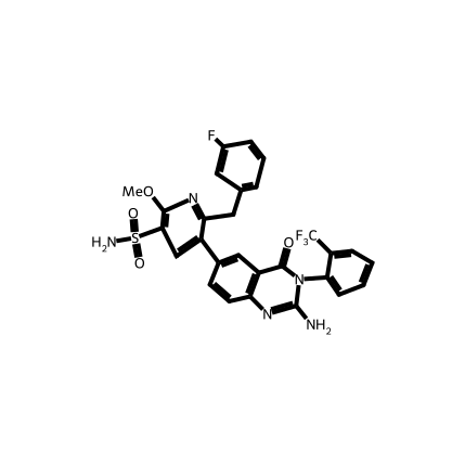 COc1nc(Cc2cccc(F)c2)c(-c2ccc3nc(N)n(-c4ccccc4C(F)(F)F)c(=O)c3c2)cc1S(N)(=O)=O